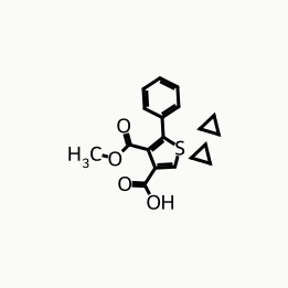 C1CC1.C1CC1.COC(=O)c1c(C(=O)O)csc1-c1ccccc1